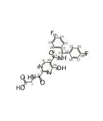 O=C(O)CNC(=O)c1ncc(C(=O)NC(c2ccc(F)cc2)c2ccc(F)cc2)c(O)n1